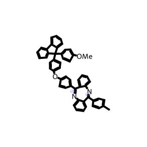 COc1ccc(C2(c3ccc(Oc4ccc(/C5=N/c6ccccc6/C(c6ccc(C)cc6)=N\c6ccccc65)cc4)cc3)c3ccccc3-c3ccccc32)cc1